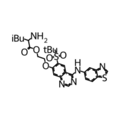 CCC(C)C(N)C(=O)OCCOc1cc2ncnc(Nc3ccc4scnc4c3)c2cc1S(=O)(=O)C(C)(C)C